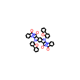 O=c1c2ccccc2n2c3c(c(=O)n12)c1cc2c(cc1n3-c1cccc3c1oc1ccccc13)c1c(=O)n3c(=O)c4ccccc4n3c1n2-c1cccc2c1oc1ccccc12